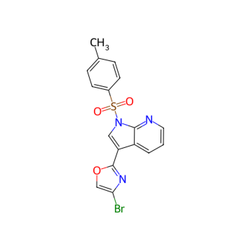 Cc1ccc(S(=O)(=O)n2cc(-c3nc(Br)co3)c3cccnc32)cc1